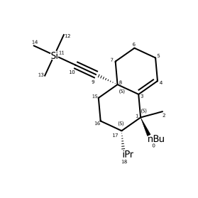 CCCC[C@]1(C)C2=CCCC[C@]2(C#C[Si](C)(C)C)CC[C@H]1C(C)C